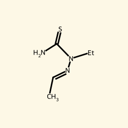 CC=NN(CC)C(N)=S